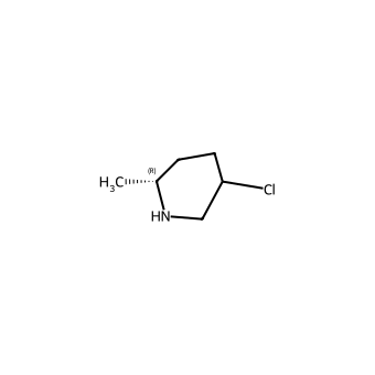 C[C@@H]1CCC(Cl)CN1